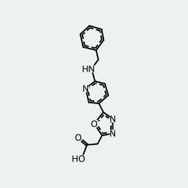 O=C(O)Cc1nnc(-c2ccc(NCc3ccccc3)nc2)o1